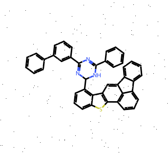 c1ccc(C2=NC(c3cccc(-c4ccccc4)c3)=NC(c3cccc4sc5c6cccc7c6c(cc5c34)-c3ccccc3-7)N2)cc1